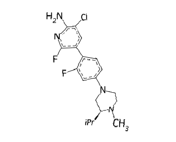 CC(C)[C@H]1CN(c2ccc(-c3cc(Cl)c(N)nc3F)c(F)c2)CCN1C